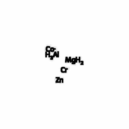 [AlH3].[Co].[Cr].[MgH2].[Zn]